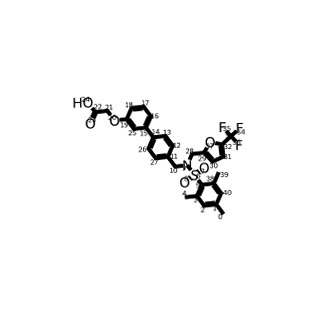 Cc1cc(C)c(S(=O)(=O)N(Cc2ccc(-c3cccc(OCC(=O)O)c3)cc2)Cc2ccc(C(F)(F)F)o2)c(C)c1